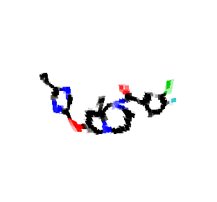 O=C(c1ccc(F)c(Cl)c1)N1CCCN2C[C@@H](Oc3cnc(C4CC4)cn3)C[C@@H]2C1